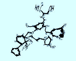 CC1(C#N)C(c2ccccc2)=CC=CC1(COc1cc(OCc2cncc(C#N)c2)c(CNC(CO)C(=O)O)cc1Cl)OCCCN1CC[C@@H](O)C1